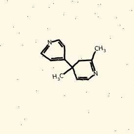 CC1=NC=CC(C)(c2ccncc2)C1